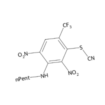 CCCCCNc1c([N+](=O)[O-])cc(C(F)(F)F)c(SC#N)c1[N+](=O)[O-]